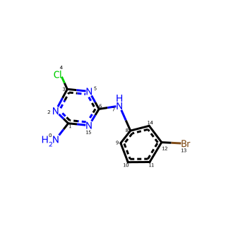 Nc1nc(Cl)nc(Nc2cccc(Br)c2)n1